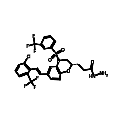 NNC(=O)CC[C@H]1CN(S(=O)(=O)c2cccc(C(F)(F)F)c2)c2cc(C=Cc3c(Cl)cccc3C(F)(F)F)ccc2O1